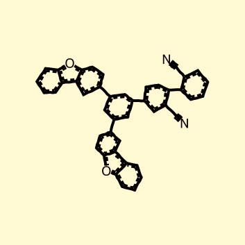 N#Cc1ccccc1-c1ccc(-c2cc(-c3ccc4oc5ccccc5c4c3)cc(-c3ccc4oc5ccccc5c4c3)c2)cc1C#N